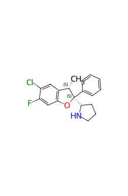 C[C@H]1c2cc(Cl)c(F)cc2O[C@@]1(c1ccccc1)C1CCCN1